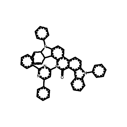 O=c1c2c(ccc3c2c2ccccc2n3-c2ccccc2)c2ccc3c(c2n1-c1cc(-c2ccccc2)nc(-c2ccccc2)n1)C1C=CC=CC1N3c1ccccc1